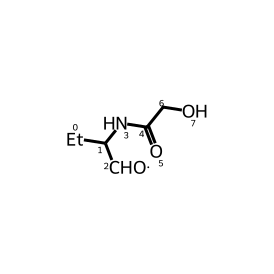 CCC([C]=O)NC(=O)CO